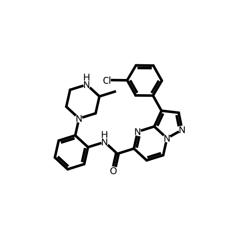 CC1CN(c2ccccc2NC(=O)c2ccn3ncc(-c4cccc(Cl)c4)c3n2)CCN1